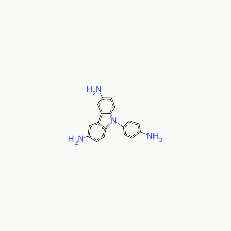 Nc1ccc(-n2c3ccc(N)cc3c3cc(N)ccc32)cc1